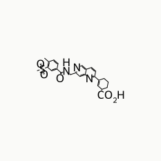 Cc1ccc(C(=O)NCc2cc3nc(C4=CC(C(=O)O)CCC4)ccc3cn2)cc1S(C)(=O)=O